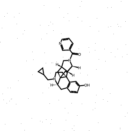 O=C(c1cccnc1)N1C[C@H]2C[C@@]34CC[C@@H]1[C@@H]2[C@@]31CCN(CC2CC2)[C@@H]4Cc2ccc(O)cc21